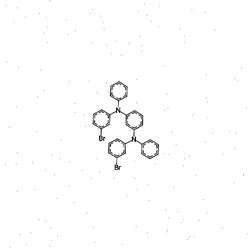 Brc1cccc(N(c2ccccc2)c2cccc(N(c3ccccc3)c3cccc(Br)c3)c2)c1